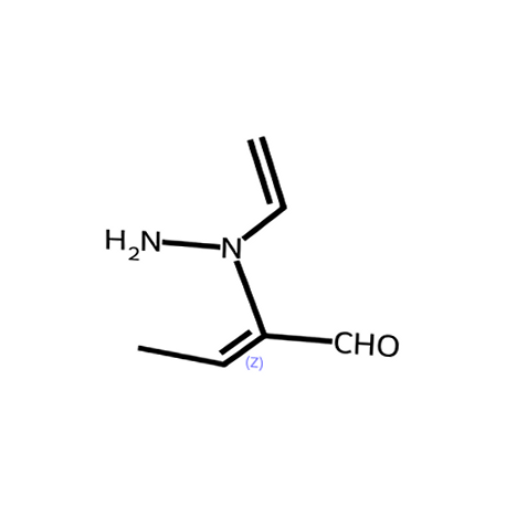 C=CN(N)/C(C=O)=C\C